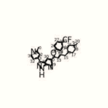 Cc1cc(-c2n[nH]c3ncc(C(=O)/C=C/CC4CCC(C)C[C@H]4c4ccccc4C(F)(F)F)cc23)ccn1